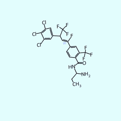 CCC(N)NC(=O)c1ccc(/C(F)=C/C(c2cc(Cl)c(Cl)c(Cl)c2)C(F)(F)F)cc1C(F)(F)F